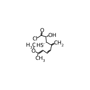 C=C(/C=C\C=C(/C)OC)[C@H](S)[C@H](O)C(=O)Cl